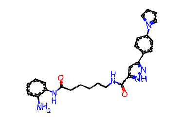 Nc1ccccc1NC(=O)CCCCCNC(=O)c1cc(-c2ccc(-n3cccc3)cc2)n[nH]1